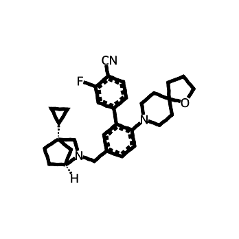 N#Cc1ccc(-c2cc(CN3C[C@]4(C5CC5)CC[C@H]3C4)ccc2N2CCC3(CCCO3)CC2)cc1F